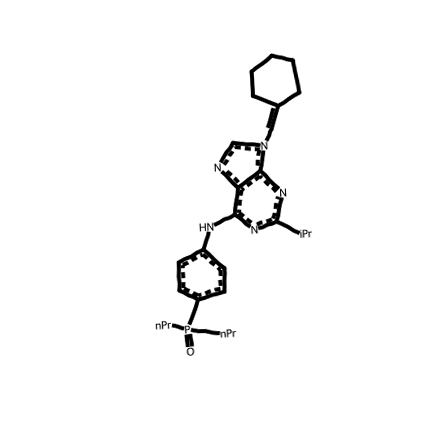 CCCP(=O)(CCC)c1ccc(Nc2nc(C(C)C)nc3c2ncn3C=C2CCCCC2)cc1